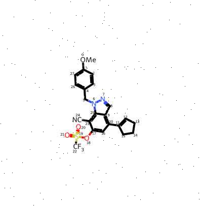 COc1ccc(Cn2ncc3c(C4=CCCC4)cc(OS(=O)(=O)C(F)(F)F)c(C#N)c32)cc1